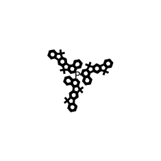 CC1(C)c2ccccc2-c2cc3c(cc21)-c1c(cc(P(c2cc4c(c5ccccc25)-c2cc5c(cc2C4(C)C)-c2ccccc2C5(C)C)c2cc4c(c5ccccc25)-c2cc5c(cc2C4(C)C)-c2ccccc2C5(C)C)c2ccccc12)C3(C)C